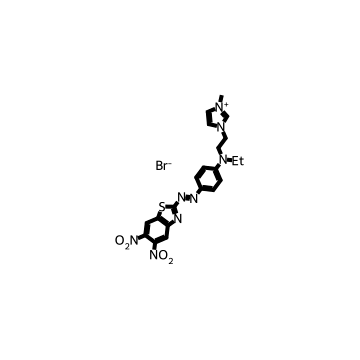 CCN(CCn1cc[n+](C)c1)c1ccc(/N=N/c2nc3cc([N+](=O)[O-])c([N+](=O)[O-])cc3s2)cc1.[Br-]